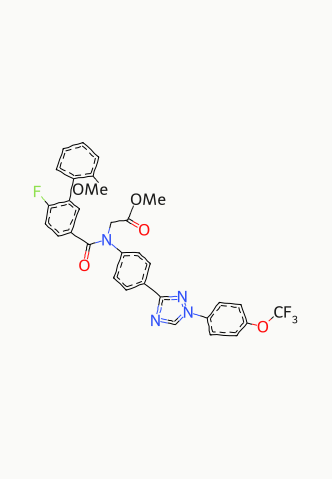 COC(=O)CN(C(=O)c1ccc(F)c(-c2ccccc2OC)c1)c1ccc(-c2ncn(-c3ccc(OC(F)(F)F)cc3)n2)cc1